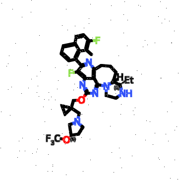 CC[C@@H]1NCCN2c3nc(OCC4(CN5CC[C@H](OC(F)(F)F)C5)CC4)nc4c(F)c(-c5cccc6ccc(F)c(C)c56)nc(c34)CCC[C@H]12